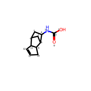 O=C(O)NC1CC2CC1C1CC=CC21